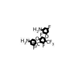 Nc1cc(F)cc(Oc2c(F)c(Oc3cc(N)cc(F)c3)c(C(F)(F)F)c(F)c2C(F)(F)F)c1